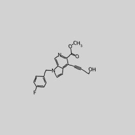 COC(=O)c1ncc2c(ccn2Cc2ccc(F)cc2)c1C#CCO